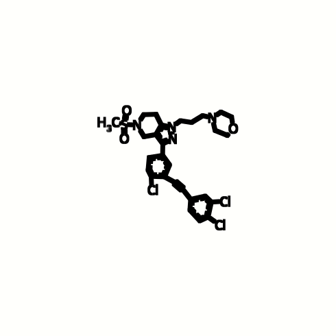 CS(=O)(=O)N1CCc2c(c(-c3ccc(Cl)c(C#Cc4ccc(Cl)c(Cl)c4)c3)nn2CCCN2CCOCC2)C1